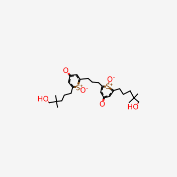 CC(C)(CO)CCCc1cc(=O)cc(CCCc2cc(=O)cc(CCCC(C)(C)CO)[s+]2[O-])[s+]1[O-]